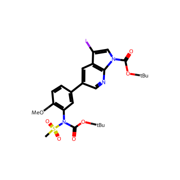 COc1ccc(-c2cnc3c(c2)c(I)cn3C(=O)OC(C)(C)C)cc1N(C(=O)OC(C)(C)C)S(C)(=O)=O